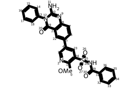 COc1ncc(-c2ccc3nc(N)n(-c4ccccc4)c(=O)c3c2)cc1S(=O)(=O)NC(=O)c1ccccc1